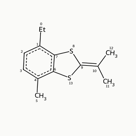 CCc1ccc(C)c2c1SC(=C(C)C)S2